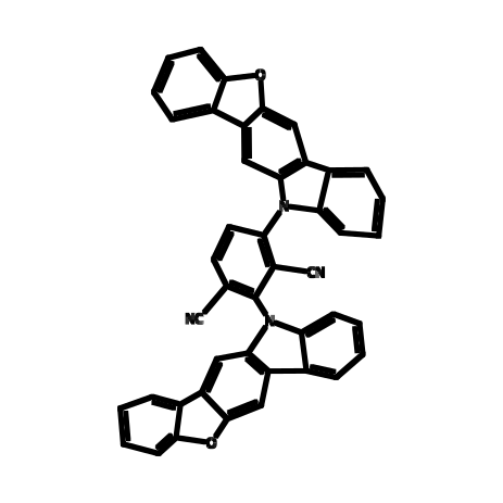 N#Cc1ccc(-n2c3ccccc3c3cc4oc5ccccc5c4cc32)c(C#N)c1-n1c2ccccc2c2cc3oc4ccccc4c3cc21